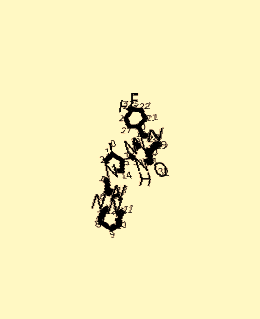 C[C@@H]1CN(Cc2nc3ccccn3n2)C[C@H]1c1nn2c(C3CCC(F)(F)CC3)ncc2c(=O)[nH]1